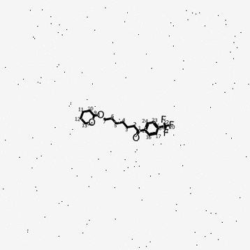 O=C(CCCCCCOC1CCCCO1)c1ccc(C(F)(F)F)cc1